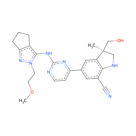 COCCn1nc2c(c1Nc1nccc(-c3cc(C#N)c4c(c3)[C@@](C)(CO)CN4)n1)CCC2